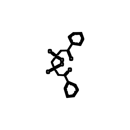 O=C(CS(=O)(=O)CS(=O)(=O)CC(=O)c1ccccc1)c1ccccc1